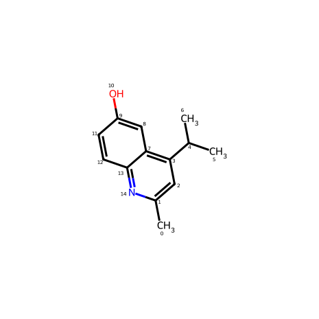 Cc1cc(C(C)C)c2cc(O)ccc2n1